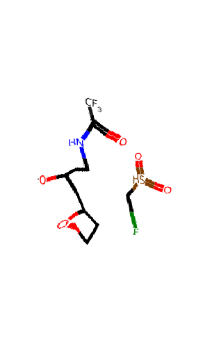 O=[SH](=O)CF.[O]C(CNC(=O)C(F)(F)F)C1CCO1